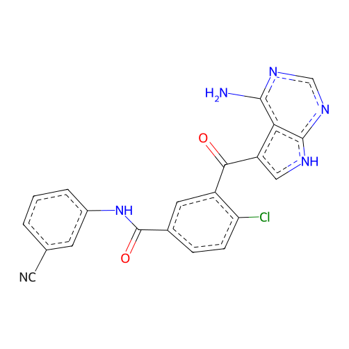 N#Cc1cccc(NC(=O)c2ccc(Cl)c(C(=O)c3c[nH]c4ncnc(N)c34)c2)c1